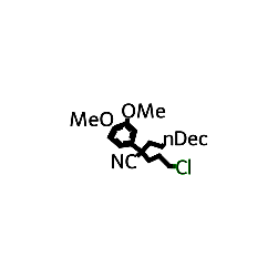 CCCCCCCCCCCCC(C#N)(CCCCl)c1ccc(OC)c(OC)c1